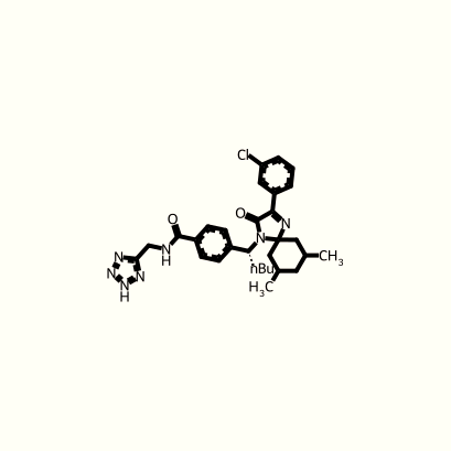 CCCC[C@H](c1ccc(C(=O)NCc2nn[nH]n2)cc1)N1C(=O)C(c2cccc(Cl)c2)=NC12CC(C)CC(C)C2